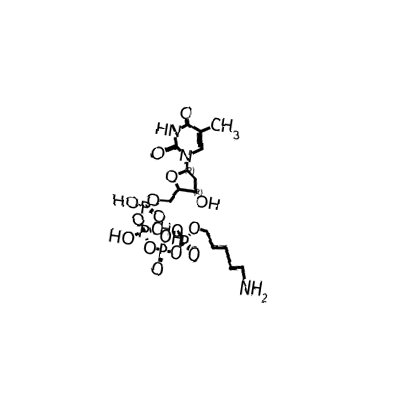 Cc1cn([C@H]2C[C@@H](O)C(COP(=O)(O)OP(=O)(O)OP(=O)(O)OP(=O)(O)OCCCCCN)O2)c(=O)[nH]c1=O